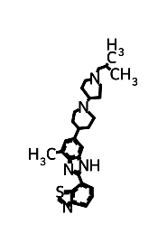 Cc1cc(C2CCN(C3CCN(CC(C)C)CC3)CC2)cc2[nH]c(-c3cccc4ncsc34)nc12